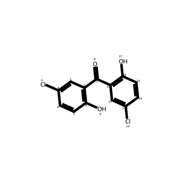 O=C(c1cc(Cl)ccc1O)c1cc(Cl)ccc1O